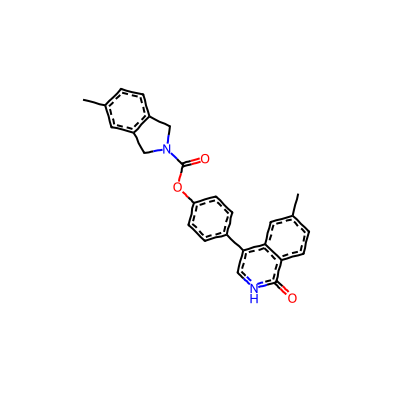 Cc1ccc2c(c1)CN(C(=O)Oc1ccc(-c3c[nH]c(=O)c4ccc(C)cc34)cc1)C2